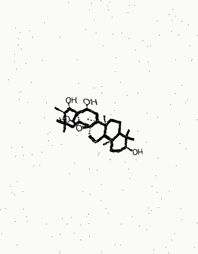 C[C@H]1[C@H](O)[C@@]23C(CC1(C)C)[C@]1(CCC4[C@@]5(C)CC[C@H](O)C(C)(C)C5CC[C@@]4(C)[C@]1(C)C[C@H]2O)O[C@@H]3O